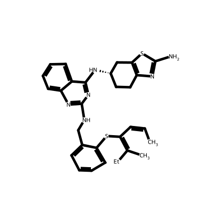 C/C=C\C(Sc1ccccc1CNc1nc(N[C@H]2CCc3nc(N)sc3C2)c2ccccc2n1)=C(/C)CC